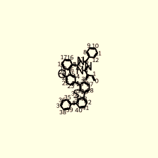 C=CC(=C)c1nc(-c2ccccc2)nc(-c2cccc3oc4ccc(-c5cccc6c5sc5c(-c7ccccc7)cccc56)cc4c23)n1